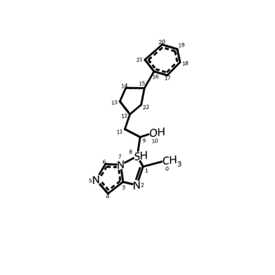 CC1=Nc2cncn2[SH]1C(O)CC1CCC(c2ccccc2)C1